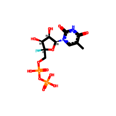 Cc1cn([C@@H]2O[C@](F)(COP(=O)(O)OP(=O)(O)O)[C@@H](O)[C@H]2O)c(=O)[nH]c1=O